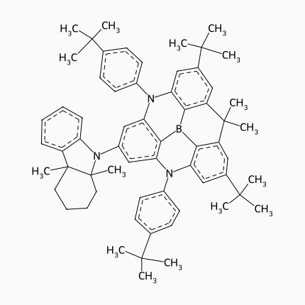 CC(C)(C)c1ccc(N2c3cc(N4c5ccccc5C5(C)CCCCC45C)cc4c3B3c5c2cc(C(C)(C)C)cc5C(C)(C)c2cc(C(C)(C)C)cc(c23)N4c2ccc(C(C)(C)C)cc2)cc1